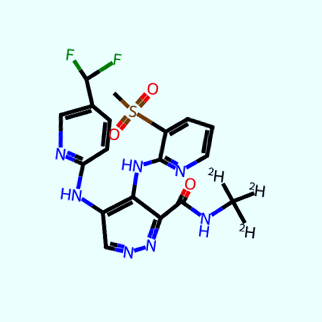 [2H]C([2H])([2H])NC(=O)c1nncc(Nc2ccc(C(F)F)cn2)c1Nc1ncccc1S(C)(=O)=O